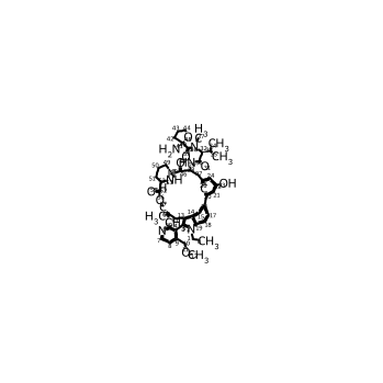 CCn1c(-c2cnccc2COC)c2c3cc(ccc31)-c1cc(O)cc(c1)C[C@H](NC(=O)[C@H](C(C)C)N(C)C(=O)[C@@]1(N)CCCO1)C(=O)N1CCC[C@H](N1)C(=O)OCC(C)(C)C2